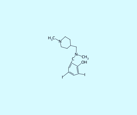 CN1CCC(CN(C)Cc2cc(I)cc(I)c2O)CC1